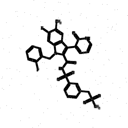 Cc1cc2c(-c3ccc[nH]c3=O)c(C(=O)NS(=O)(=O)c3cccc(CS(C)(=O)=O)c3)n(Cc3ccccc3F)c2cc1F